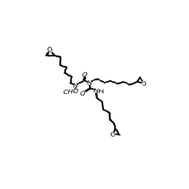 O=CN(CCCCCCC1CO1)C(=O)N(CCCCCCC1CO1)C(=O)NCCCCCCC1CO1